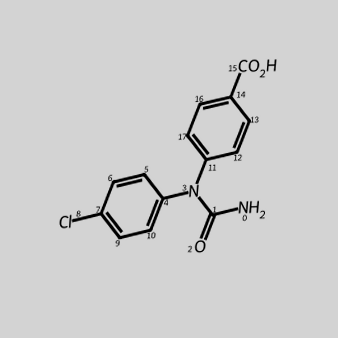 NC(=O)N(c1ccc(Cl)cc1)c1ccc(C(=O)O)cc1